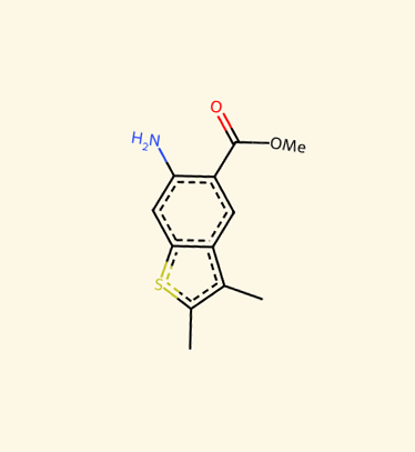 COC(=O)c1cc2c(C)c(C)sc2cc1N